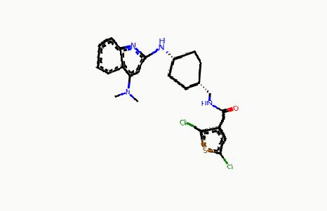 CN(C)c1cc(N[C@H]2CC[C@@H](CNC(=O)c3cc(Cl)sc3Cl)CC2)nc2ccccc12